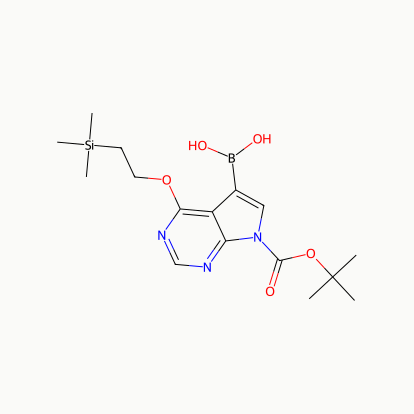 CC(C)(C)OC(=O)n1cc(B(O)O)c2c(OCC[Si](C)(C)C)ncnc21